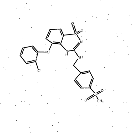 CS(=O)(=O)c1ccc(CNC2=NS(=O)(=O)c3cccc(Oc4ccccc4Cl)c3N2)cc1